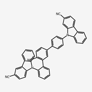 N#Cc1ccc2c(c1)c1ccccc1n2-c1ccccc1-c1cc(-c2ccc(-n3c4ccccc4c4ccc(C#N)cc43)cc2)ccc1C#N